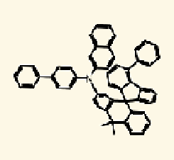 CC1(C)c2ccccc2C2(c3ccccc3-c3c(-c4ccccc4)cccc32)c2cc(N(c3ccc(-c4ccccc4)cc3)c3ccc4ccccc4c3)ccc21